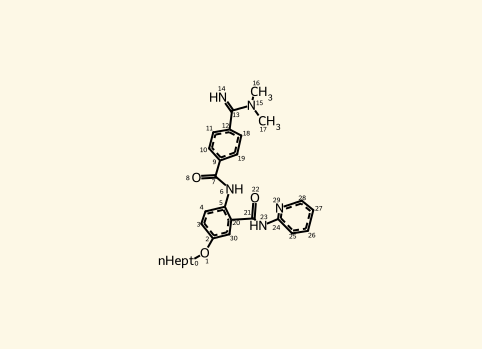 CCCCCCCOc1ccc(NC(=O)c2ccc(C(=N)N(C)C)cc2)c(C(=O)Nc2ccccn2)c1